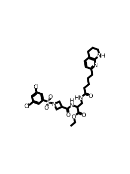 CCOC(=O)C(CNC(=O)CCCCc1ccc2c(n1)NCCC2)NC(=O)C1CN(S(=O)(=O)c2cc(Cl)cc(Cl)c2)C1